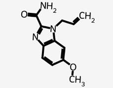 C=CCn1c(C(N)=O)nc2ccc(OC)cc21